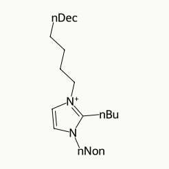 CCCCCCCCCCCCCC[n+]1ccn(CCCCCCCCC)c1CCCC